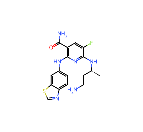 C[C@H](CCN)Nc1nc(Nc2ccc3ncsc3c2)c(C(N)=O)cc1F